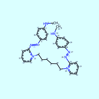 CNc1ccc(/N=N/c2cccc[n+]2CCCCCC[n+]2ccccc2/N=N/c2ccc(NC)cc2)cc1